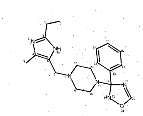 CCc1nc(C)c(CN2CCN(C3(c4ccccc4)N=CON3)CC2)[nH]1